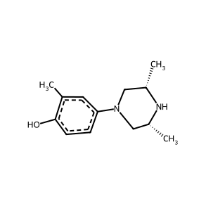 Cc1cc(N2C[C@@H](C)N[C@@H](C)C2)ccc1O